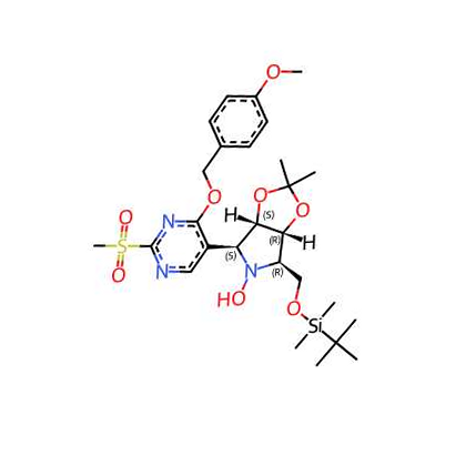 COc1ccc(COc2nc(S(C)(=O)=O)ncc2[C@H]2[C@@H]3OC(C)(C)O[C@@H]3[C@@H](CO[Si](C)(C)C(C)(C)C)N2O)cc1